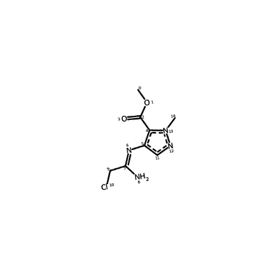 COC(=O)c1c(N=C(N)CCl)cnn1C